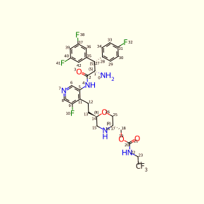 N[C@H](C(=O)Nc1cncc(F)c1CC[C@@H]1CN[C@@H](COC(=O)NCC(F)(F)F)CO1)[C@@H](c1ccc(F)cc1)c1cc(F)cc(F)c1